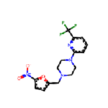 O=[N+]([O-])c1ccc(CN2CCN(c3cccc(C(F)(F)F)n3)CC2)o1